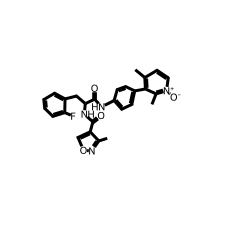 Cc1cc[n+]([O-])c(C)c1-c1ccc(NC(=O)C(Cc2ccccc2F)NC(=O)c2conc2C)cc1